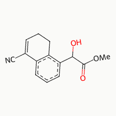 COC(=O)C(O)c1cccc2c1CCC=C2C#N